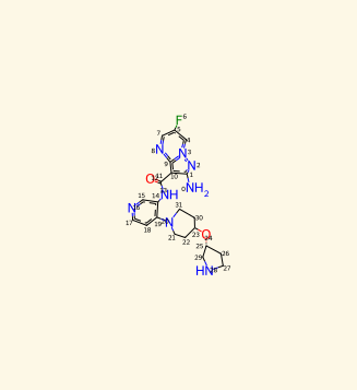 Nc1nn2cc(F)cnc2c1C(=O)Nc1cnccc1N1CCC(O[C@@H]2CCNC2)CC1